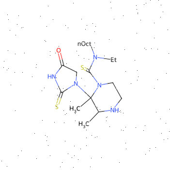 CCCCCCCCN(CC)C(=S)N1CCNC(C)C1(C)N1CC(=O)NC1=S